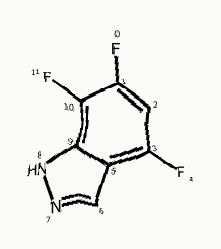 Fc1cc(F)c2cn[nH]c2c1F